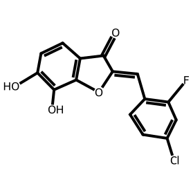 O=C1C(=Cc2ccc(Cl)cc2F)Oc2c1ccc(O)c2O